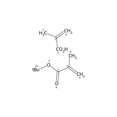 C=C(C)C(=O)O.C=C(C)C(=O)OC(C)(C)C